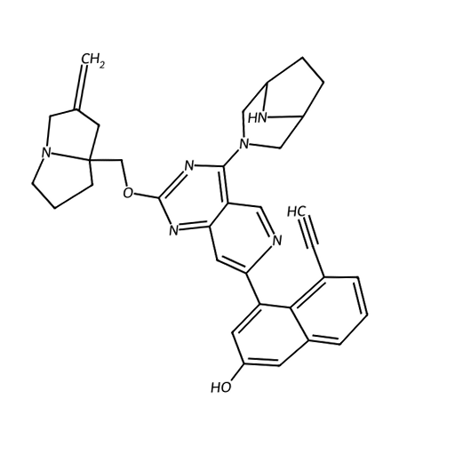 C#Cc1cccc2cc(O)cc(-c3cc4nc(OCC56CCCN5CC(=C)C6)nc(N5CC6CCC(C5)N6)c4cn3)c12